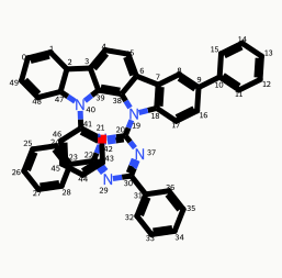 C1=CC2c3ccc4c5cc(-c6ccccc6)ccc5n(-c5nc(-c6ccccc6)nc(-c6ccccc6)n5)c4c3N(c3ccccc3)C2C=C1